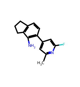 Cc1cc(-c2ccc3c(c2N)CCC3)cc(F)n1